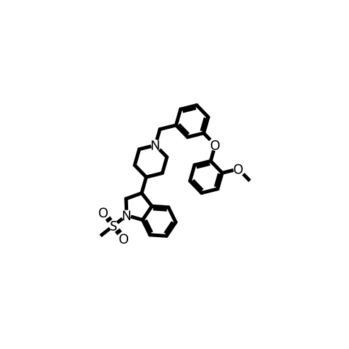 COc1ccccc1Oc1cccc(CN2CCC(C3CN(S(C)(=O)=O)c4ccccc43)CC2)c1